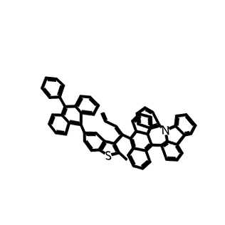 C=C/C=C(/C1=c2ccccc2=C(c2cccc3c4ccccc4n(-c4ccccc4)c23)C2C=CC=CC12)c1c(C)sc2ccc(-c3c4ccccc4c(-c4ccccc4)c4ccccc34)cc12